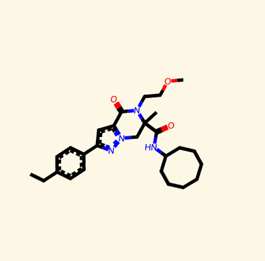 CCc1ccc(-c2cc3n(n2)CC(C)(C(=O)NC2CCCCCCC2)N(CCOC)C3=O)cc1